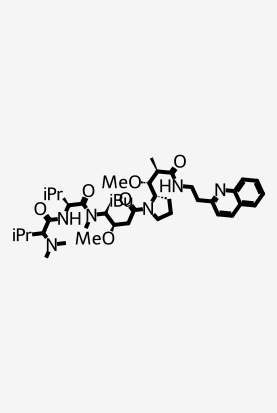 CC[C@H](C)C([C@@H](CC(=O)N1CCC[C@H]1[C@H](OC)[C@@H](C)C(=O)NCCc1ccc2ccccc2n1)OC)N(C)C(=O)[C@@H](NC(=O)C(C(C)C)N(C)C)C(C)C